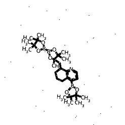 CC1(C)OB(B2OC(C)(C)C(C)(CC3CCCc4c(B5OC(C)(C)C(C)(C)O5)ccnc43)O2)OC1(C)C